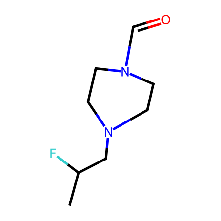 CC(F)CN1CCN(C=O)CC1